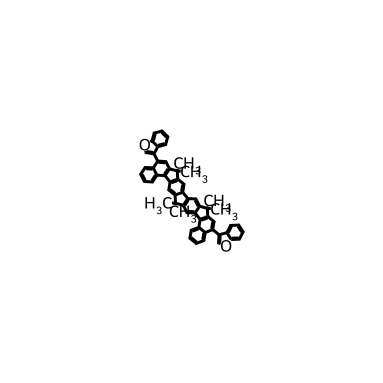 CC1(C)c2cc3c(cc2-c2cc4c(cc21)-c1c(cc(-c2coc5ccccc25)c2ccccc12)C4(C)C)C(C)(C)c1cc(-c2coc4ccccc24)c2ccccc2c1-3